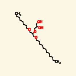 CCCCCCCCCCCCOCC(COCCCCCCCC)OCC(O)CO